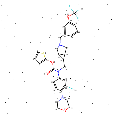 O=C(Oc1cccs1)N(CC1C2CN(Cc3cccc(OC(F)(F)F)c3)CC21)c1ccc(N2CCOCC2)c(F)c1